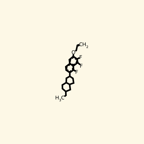 C=CCOc1cc2ccc(C3CCC4CC(CC)CCC4C3)c(F)c2c(F)c1F